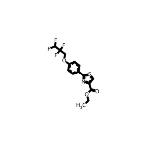 CCOC(=O)c1csc(-c2ccc(OCC(F)(F)C(F)F)cc2)n1